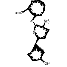 COc1ccccc1Nc1nc(-c2cccc(O)c2)ccc1N